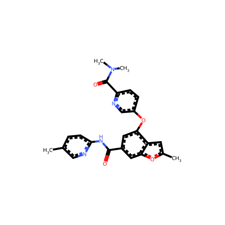 Cc1ccc(NC(=O)c2cc(Oc3ccc(C(=O)N(C)C)nc3)c3cc(C)oc3c2)nc1